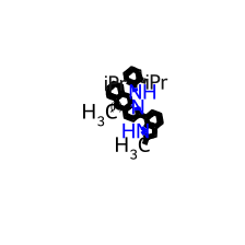 CC1Cc2cccc(-c3ccc4c(n3)C(Nc3c(C(C)C)cccc3C(C)C)c3ccccc3[C@H]4C)c2N1